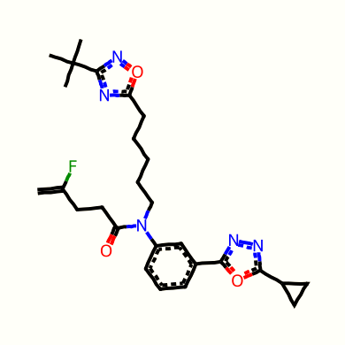 C=C(F)CCC(=O)N(CCCCCc1nc(C(C)(C)C)no1)c1cccc(-c2nnc(C3CC3)o2)c1